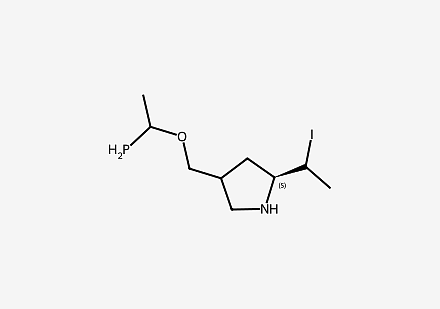 CC(P)OCC1CN[C@H](C(C)I)C1